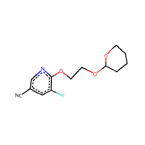 N#Cc1cnc(OCCOC2CCCCO2)c(F)c1